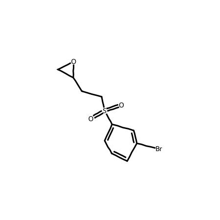 O=S(=O)(CCC1CO1)c1cccc(Br)c1